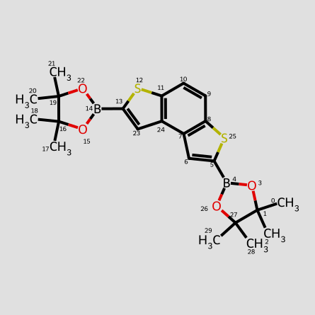 CC1(C)OB(c2cc3c(ccc4sc(B5OC(C)(C)C(C)(C)O5)cc43)s2)OC1(C)C